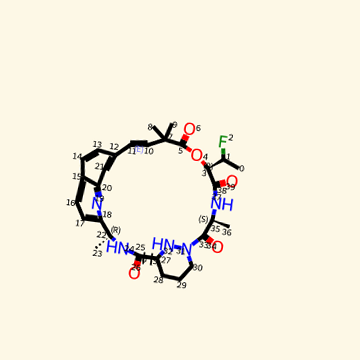 CC(F)[C@@H]1OC(=O)C(C)(C)/C=C/c2ccc3ccc(nc3c2)[C@@H](C)NC(=O)[C@@H]2CCCN(N2)C(=O)[C@H](C)NC1=O